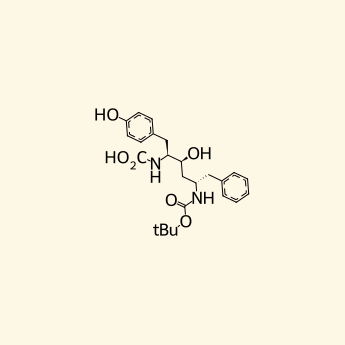 CC(C)(C)OC(=O)N[C@@H](Cc1ccccc1)C[C@H](O)[C@H](Cc1ccc(O)cc1)NC(=O)O